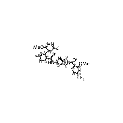 COc1cnc(Cl)cc1-c1cc(C)ncc1C(=O)Nc1nc2c(s1)CN(C(=O)c1ncc(C(F)(F)F)nc1OC)C2